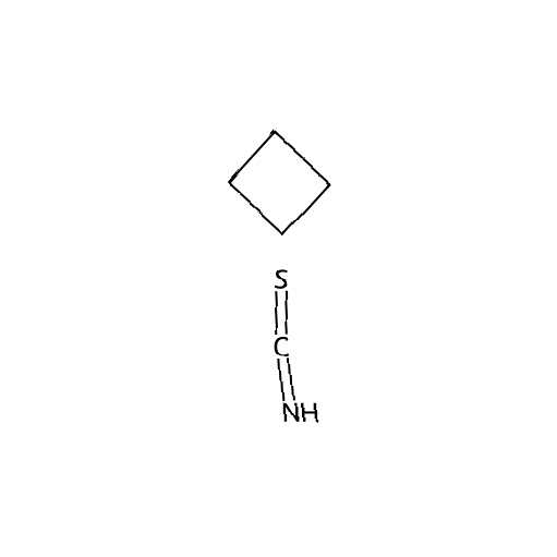 C1CCC1.N=C=S